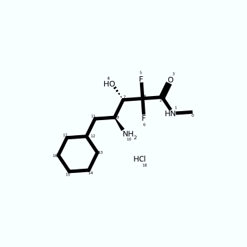 CNC(=O)C(F)(F)[C@@H](O)[C@@H](N)CC1CCCCC1.Cl